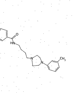 Cc1cccc(N2CCN(CCCCNC(=O)c3ccccc3)CC2)c1